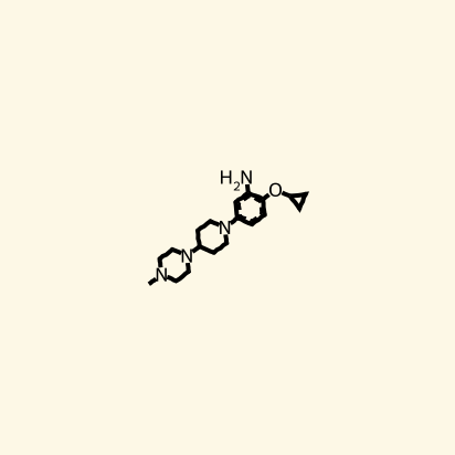 CN1CCN(C2CCN(c3ccc(OC4CC4)c(N)c3)CC2)CC1